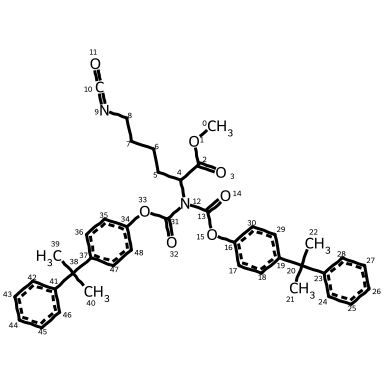 COC(=O)C(CCCCN=C=O)N(C(=O)Oc1ccc(C(C)(C)c2ccccc2)cc1)C(=O)Oc1ccc(C(C)(C)c2ccccc2)cc1